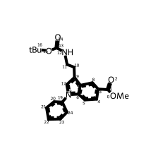 COC(=O)c1ccc2c(c1)c(CCNC(=O)OC(C)(C)C)cn2-c1ccccc1